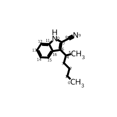 CCCCC(C)c1c(C#N)[nH]c2ccccc12